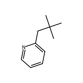 CC(C)(C)[CH]c1ccccn1